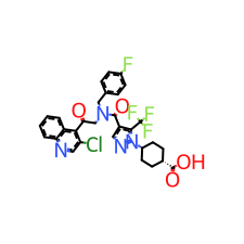 O=C(CN(Cc1ccc(F)cc1)C(=O)c1cnn([C@H]2CC[C@H](C(=O)O)CC2)c1C(F)(F)F)c1c(Cl)cnc2ccccc12